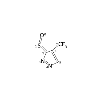 O=S=C1N=NC=C1C(F)(F)F